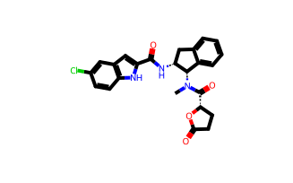 CN(C(=O)[C@@H]1CCC(=O)O1)[C@H]1c2ccccc2C[C@H]1NC(=O)c1cc2cc(Cl)ccc2[nH]1